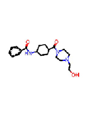 O=C(NC1CCC(C(=O)N2CCN(CCO)CC2)CC1)c1ccccc1